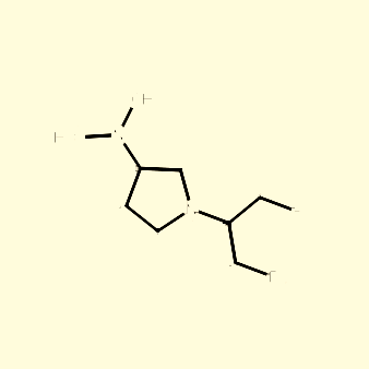 CN(C)C1CCN(C(CF)CF)C1